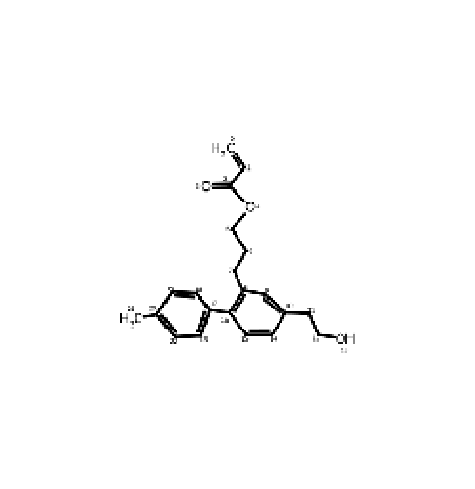 C=CC(=O)OCCCc1cc(CCO)ccc1-c1ccc(C)cc1